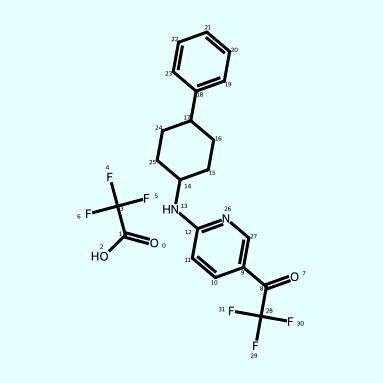 O=C(O)C(F)(F)F.O=C(c1ccc(NC2CCC(c3ccccc3)CC2)nc1)C(F)(F)F